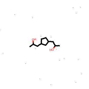 CC(O)CC1CCC(CC(C)O)C1